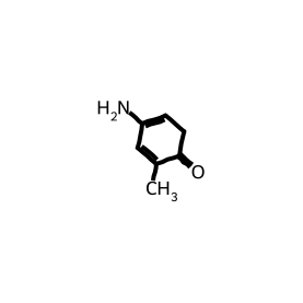 CC1=CC(N)=CCC1=O